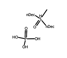 CCCCCCCCCC[SH](C)(=O)CCCCCCCCCC.O=P(O)(O)O